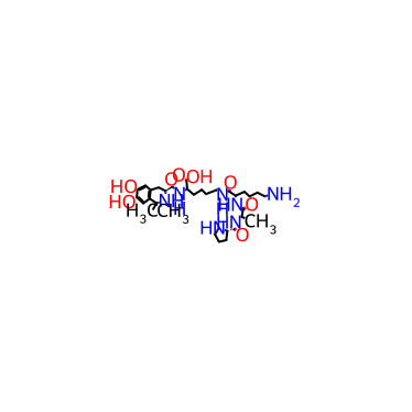 CC(NC(=O)[C@@H]1CCCN1)C(=O)NC(CCCCN)C(=O)NCCCCC(NC(=O)[C@@H]1Cc2cc(O)c(O)cc2C(C)(C)N1)C(=O)O